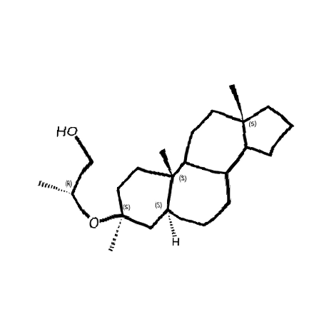 C[C@H](CO)O[C@@]1(C)CC[C@]2(C)C3CC[C@]4(C)CCCC4C3CC[C@H]2C1